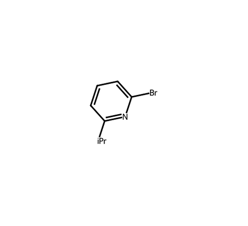 CC(C)c1cccc(Br)n1